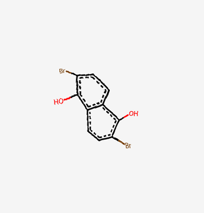 Oc1c(Br)ccc2c(O)c(Br)ccc12